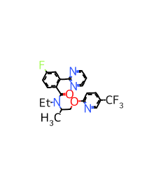 CCN(C(=O)c1ccc(F)cc1-c1ncccn1)C(C)COc1ccc(C(F)(F)F)cn1